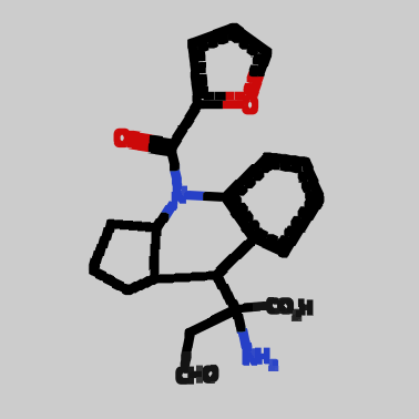 NC(CC=O)(C(=O)O)C1c2ccccc2N(C(=O)c2ccco2)C2CCCC21